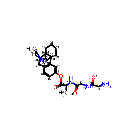 CC(NC(=O)CNC(=O)CN)C(=O)Oc1ccc2c(c1)[C@@]13CCCC[C@H]1[C@@H](C2)N(C)CC3